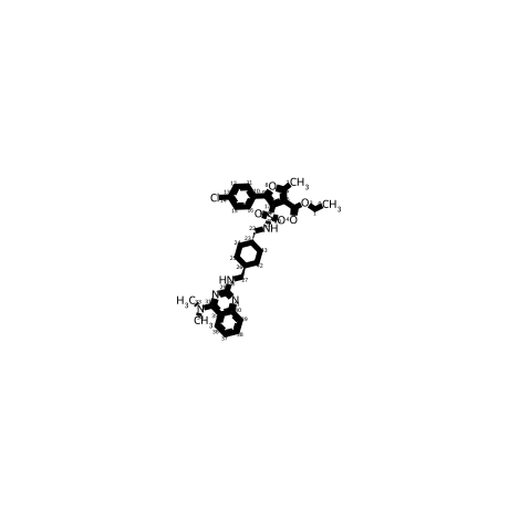 CCOC(=O)c1c(C)oc(-c2ccc(Cl)cc2)c1S(=O)(=O)NC[C@H]1CC[C@H](CNc2nc(N(C)C)c3ccccc3n2)CC1